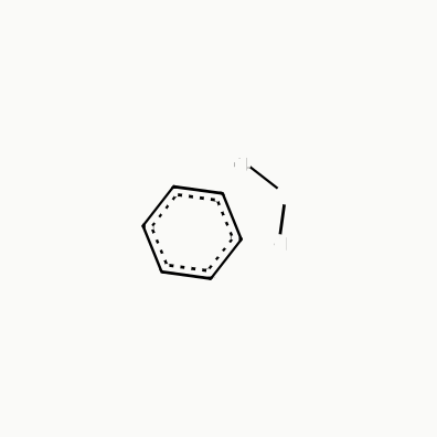 [Cl][Ti][Cl].[c]1ccccc1